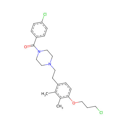 Cc1c(CCN2CCN(C(=O)c3ccc(Cl)cc3)CC2)ccc(OCCCCl)c1C